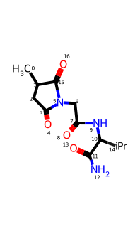 CC1CC(=O)N(CC(=O)NC(C(N)=O)C(C)C)C1=O